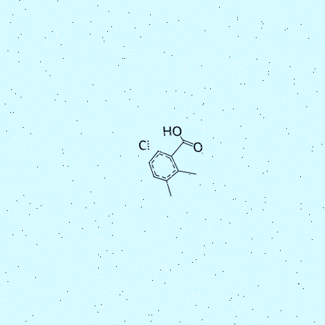 Cc1cccc(C(=O)O)c1C.[C]